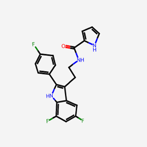 O=C(NCCc1c(-c2ccc(F)cc2)[nH]c2c(F)cc(F)cc12)c1ccc[nH]1